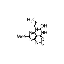 C=CCN1c2nc(SC)nc(N)c2C(=O)NC1O